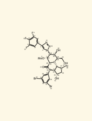 CO[C@@H]1[C@@H](n2cc(-c3cc(F)c(F)c(F)c3)nn2)[C@@H](O)[C@@H](CO)O[C@H]1C(=O)N(c1cc(Br)cc(Br)c1)[C@H]1CN(C(C)=O)C[C@@H]1O